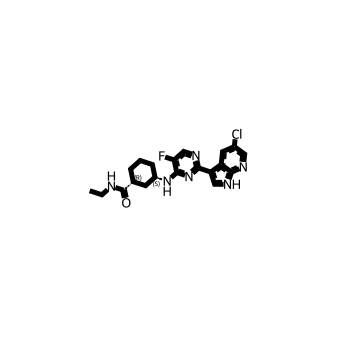 CCNC(=O)[C@@H]1CCC[C@H](Nc2nc(-c3c[nH]c4ncc(Cl)cc34)ncc2F)C1